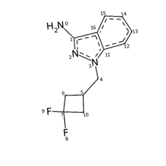 Nc1nn(CC2CC(F)(F)C2)c2ccccc12